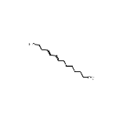 [CH2]CCCCCCC=CC=CCCC